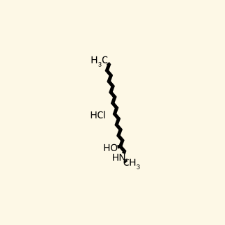 CCCCCCCCCCCCCCCCC(O)CNC.Cl